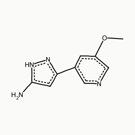 COc1cncc(-c2cc(N)[nH]n2)c1